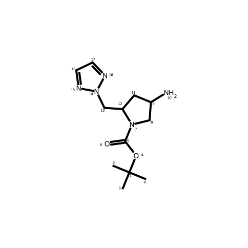 CC(C)(C)OC(=O)N1CC(N)CC1Cn1nccn1